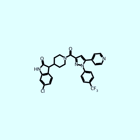 O=C1Nc2cc(Cl)ccc2C1C1CCN(C(=O)c2cc(-c3ccncc3)n(-c3ccc(C(F)(F)F)cc3)n2)CC1